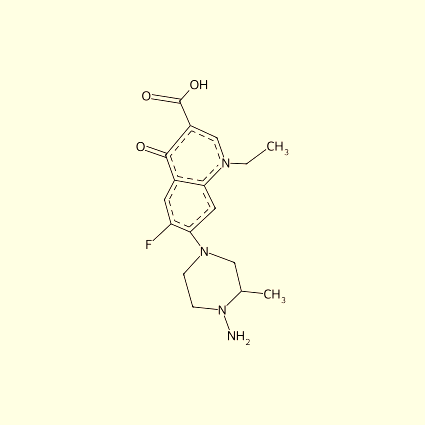 CCn1cc(C(=O)O)c(=O)c2cc(F)c(N3CCN(N)C(C)C3)cc21